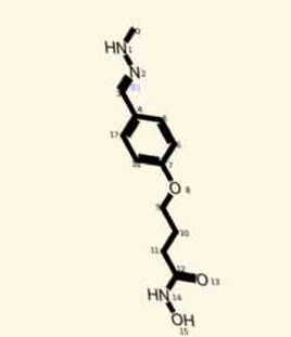 CN/N=C/c1ccc(OCCCC(=O)NO)cc1